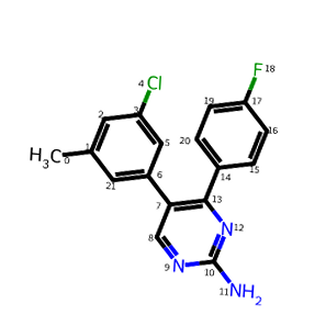 Cc1cc(Cl)cc(-c2cnc(N)nc2-c2ccc(F)cc2)c1